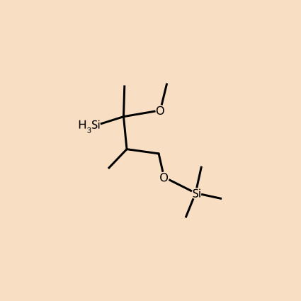 COC(C)([SiH3])C(C)CO[Si](C)(C)C